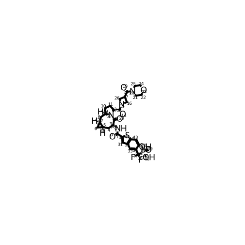 O=C(N[C@H]1C[C@H]2C[C@H]2C[C@H]2CC[C@@H](C(=O)N3CC(C(=O)N4CCOCC4)C3)N2C1=O)c1cc2cc(C(F)(F)P(=O)(O)O)ccc2s1